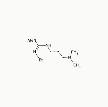 CC/N=C(/NC)NCCCN(C)C